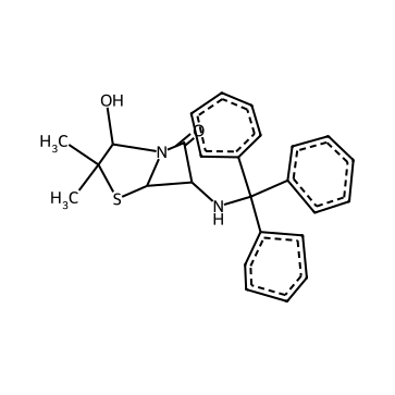 CC1(C)SC2C(NC(c3ccccc3)(c3ccccc3)c3ccccc3)C(=O)N2C1O